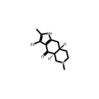 CCc1c(C)[nH]c2c1C(=O)[C@@H]1CN(C)CC[C@H]1C2